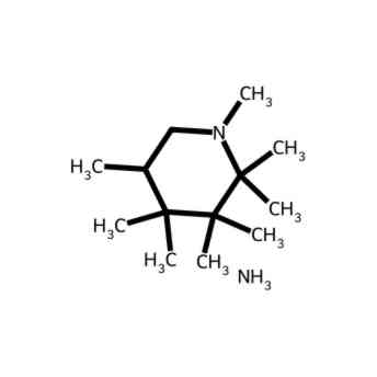 CC1CN(C)C(C)(C)C(C)(C)C1(C)C.N